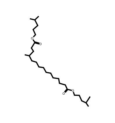 CC(C)CCCOC(=O)CCCCCCCCCCC(C)CCC(=O)OCCCC(C)C